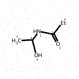 C[CH]C(=O)NC(C)O